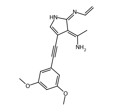 C=C/N=C1/NC=C(C#Cc2cc(OC)cc(OC)c2)/C1=C(/C)N